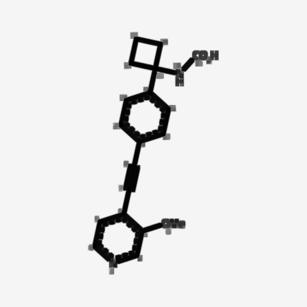 COc1cnccc1C#Cc1ccc(C2(NC(=O)O)CCC2)cc1